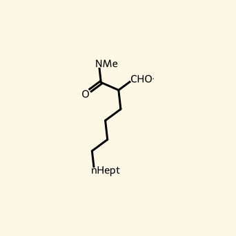 CCCCCCCCCCCC([C]=O)C(=O)NC